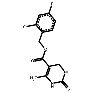 CC1=C(C(=O)OCc2ccc(F)cc2Cl)CNC(=S)N1